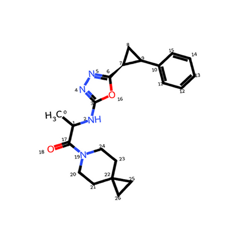 CC(Nc1nnc([C@H]2CC2c2ccccc2)o1)C(=O)N1CCC2(CC1)CC2